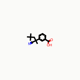 CC(C)(C)CC(C)(C#N)c1cccc(C(=O)O)c1